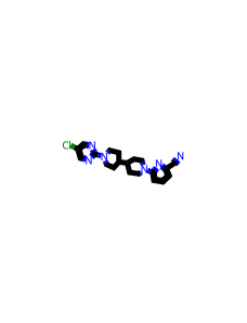 N#Cc1cccc(N2CCC(C3CCN(c4ncc(Cl)cn4)CC3)CC2)n1